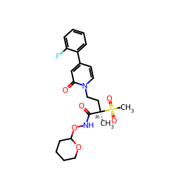 C[C@@](CCn1ccc(-c2ccccc2F)cc1=O)(C(=O)NOC1CCCCO1)S(C)(=O)=O